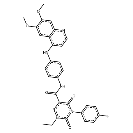 CCn1nc(C(=O)Nc2ccc(Nc3ccnc4cc(OC)c(OC)cc34)cc2)c(=O)n(-c2ccc(F)cc2)c1=O